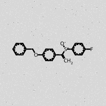 C=C(c1ccc(OCc2ccccc2)cc1)[S+]([O-])c1ccc(F)cc1